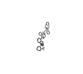 C[C@@H]1COCCN1C(=O)CN1CCN(c2cccc3c2cnn3-c2ccccc2F)C1=O